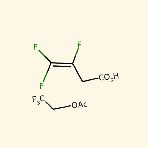 CC(=O)OCC(F)(F)F.O=C(O)CC(F)=C(F)F